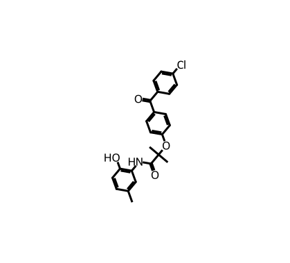 Cc1ccc(O)c(NC(=O)C(C)(C)Oc2ccc(C(=O)c3ccc(Cl)cc3)cc2)c1